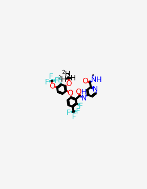 [2H]C([2H])([2H])Oc1c(Oc2ccc(C(F)(F)F)c(F)c2C(=O)Nc2ccnc(C(=O)NC)c2)ccc(OC(F)(F)F)c1F